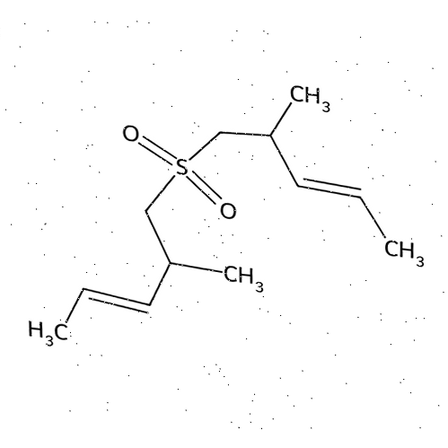 CC=CC(C)CS(=O)(=O)CC(C)C=CC